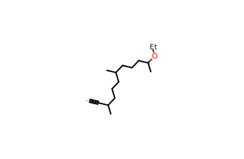 [C]#CC(C)CCCC(C)CCCC(C)OCC